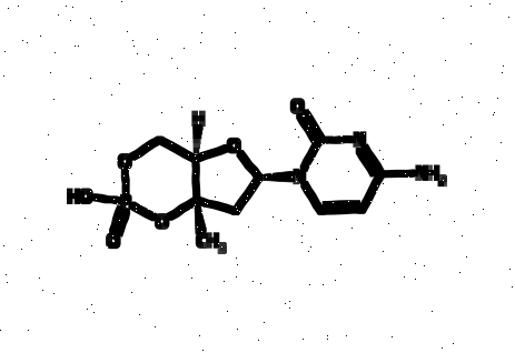 C[C@]12C[C@H](n3ccc(N)nc3=O)O[C@@H]1COP(=O)(O)O2